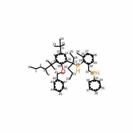 CCCC(C)C(C)(C)c1cc(C(C)(C)C)cc(C(CC)(CCC)Pc2c(C)cccc2CPc2ccccc2)c1OCc1ccccc1